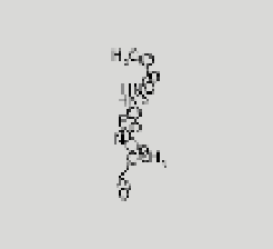 COc1cc2c(Oc3ccc(NC(=S)NC(=O)CC(=O)c4cccc(C)c4)cc3F)ccnc2cc1OCCCN1CCOCC1